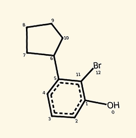 Oc1cccc(C2CCCC2)c1Br